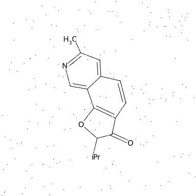 Cc1cc2ccc3c(c2cn1)OC(C(C)C)C3=O